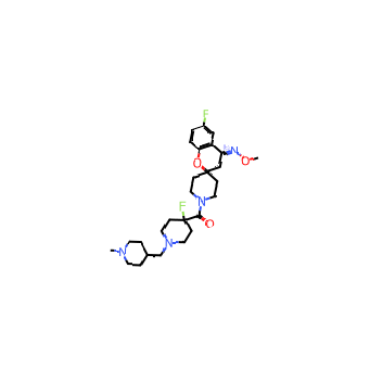 CO/N=C1\CC2(CCN(C(=O)C3(F)CCN(CC4CCN(C)CC4)CC3)CC2)Oc2ccc(F)cc21